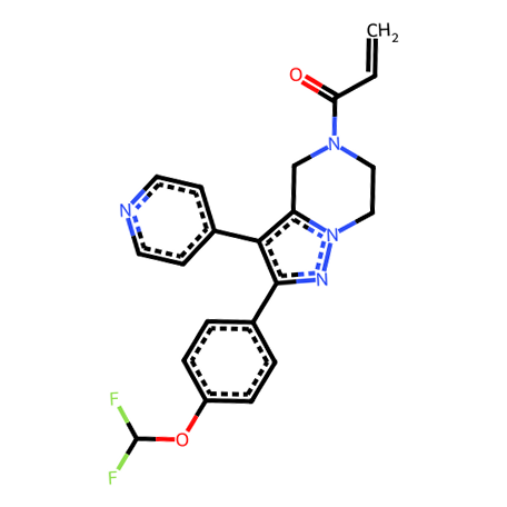 C=CC(=O)N1CCn2nc(-c3ccc(OC(F)F)cc3)c(-c3ccncc3)c2C1